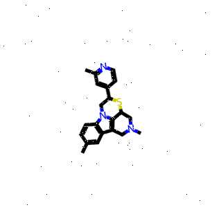 Cc1ccc2c(c1)c1c3n2CC(c2ccnc(C)c2)SC3CN(C)C1